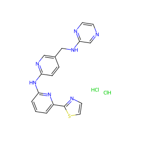 Cl.Cl.c1cc(Nc2ccc(CNc3cnccn3)cn2)nc(-c2nccs2)c1